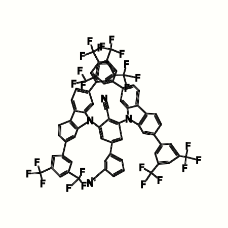 N#Cc1cccc(-c2cc(-n3c4cc(-c5cc(C(F)(F)F)cc(C(F)(F)F)c5)ccc4c4ccc(-c5cc(C(F)(F)F)cc(C(F)(F)F)c5)cc43)c(C#N)c(-n3c4cc(-c5cc(C(F)(F)F)cc(C(F)(F)F)c5)ccc4c4ccc(-c5cc(C(F)(F)F)cc(C(F)(F)F)c5)cc43)c2)c1